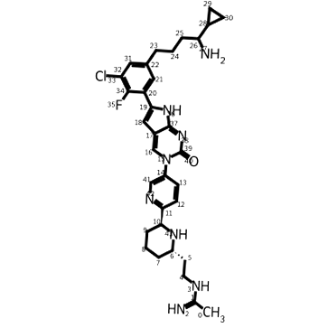 CC(=N)NCC[C@@H]1CCC[C@@H](c2ccc(-n3cc4cc(-c5cc(CCCC(N)C6CC6)cc(Cl)c5F)[nH]c4nc3=O)cn2)N1